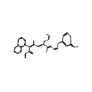 C=CC(=C)\C(=C(C)/C=C(C/C=C\C)/C(C)=C/C=C\CC1=CC(=N)CC=C1)c1cccc2ccccc12